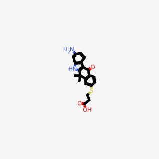 CC1(C)c2cc(SCCC(=O)O)ccc2C(=O)c2c1[nH]c1cc(N)ccc21